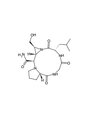 CC(C)C[C@@H]1NC(=O)CNC(=O)[C@@H]2CCCN2[C@@H](C(N)=O)[C@@H]2[C@@H](CO)N2C1=O